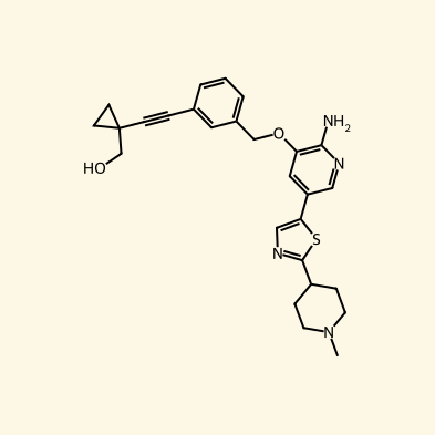 CN1CCC(c2ncc(-c3cnc(N)c(OCc4cccc(C#CC5(CO)CC5)c4)c3)s2)CC1